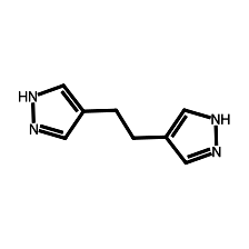 c1n[nH]cc1CCc1cn[nH]c1